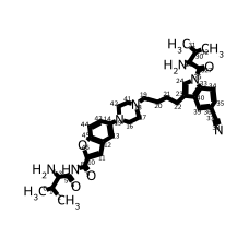 CC(C)C(N)C(=O)NC(=O)c1cc2cc(N3CCN(CCCCc4cn(C(=O)C(N)C(C)C)c5ccc(C#N)cc45)CC3)ccc2o1